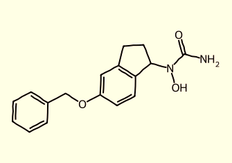 NC(=O)N(O)C1CCc2cc(OCc3ccccc3)ccc21